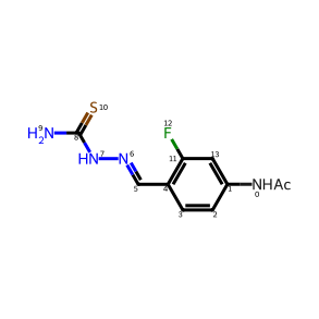 CC(=O)Nc1ccc(C=NNC(N)=S)c(F)c1